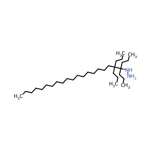 CCCCCCCCCCCCCCCCCCC(CCC)(CCC)C(CCC)(CCC)NN